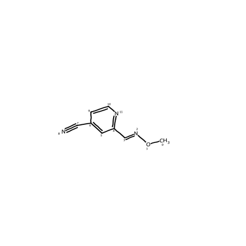 CO/N=C/c1cc(C#N)ccn1